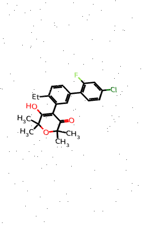 CCc1ccc(-c2ccc(Cl)cc2F)cc1C1=C(O)C(C)(C)OC(C)(C)C1=O